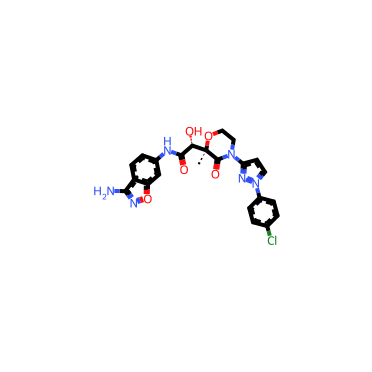 C[C@]1([C@@H](O)C(=O)Nc2ccc3c(N)noc3c2)OCCN(c2ccn(-c3ccc(Cl)cc3)n2)C1=O